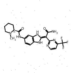 CN1CCCC[C@H]1C(=O)Nc1ccc2c(c1)NC(=C(C(N)=O)c1nccc(C(F)(F)F)n1)N2